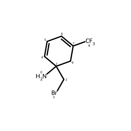 NC1(CBr)C=CC=C(C(F)(F)F)C1